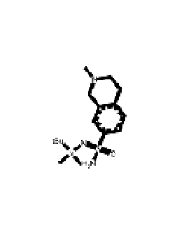 CN1CCc2ccc(S(N)(=O)=N[Si](C)(C)C(C)(C)C)cc2C1